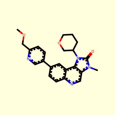 COCc1ccc(-c2ccc3ncc4c(c3c2)n(C2CCCOC2)c(=O)n4C)cn1